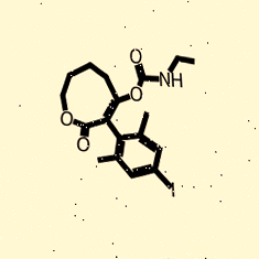 CCNC(=O)O/C1=C(\c2c(C)cc(I)cc2C)C(=O)OCCCC1